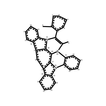 CC1=C(c2ccccc2C)n2c3ccccc3c3cc4c5ccccc5n5c4c(c32)B1c1ccccc1-5